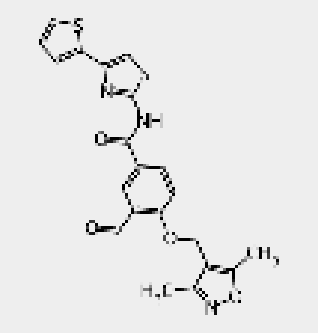 Cc1noc(C)c1COc1ccc(C(=O)Nc2nc(-c3cccs3)cs2)cc1C=O